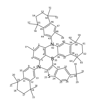 Cc1cc2c3c(c1)N(c1ccc4c(c1)C(C)(C)CCC4(C)C)c1sc4ccc(C(C)(C)C)cc4c1B3c1cc3c(cc1N2c1cc2c(cc1C)C(C)(C)CCC2(C)C)C(C)(C)CCC3(C)C